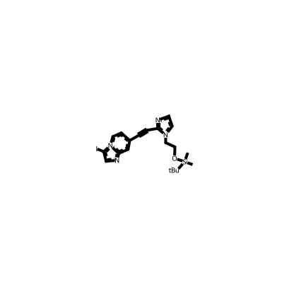 CC(C)(C)[Si](C)(C)OCCn1ccnc1C#Cc1ccn2c(I)cnc2c1